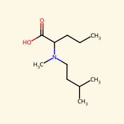 CCCC(C(=O)O)N(C)CCC(C)C